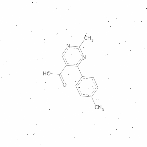 Cc1ccc(-c2nc(C)ncc2C(=O)O)cc1